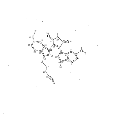 COc1ccc2c(c1)c(C1=C(c3cn(CCCC#N)c4ccc(OC)cc34)C(=O)NC1=O)cn2C